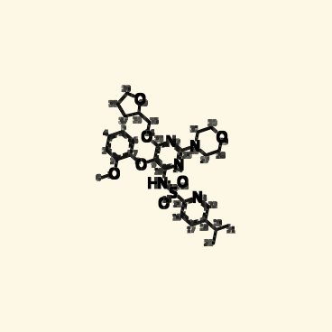 COc1ccccc1Oc1c(NS(=O)(=O)c2ccc(C(C)C)cn2)nc(N2CCOCC2)nc1OCC1CCCO1